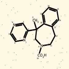 CC1(c2cnccn2)CN(C(=O)O)CCc2ccccc21